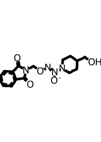 O=C1c2ccccc2C(=O)N1CO/N=[N+](\[O-])N1CCC(CO)CC1